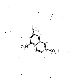 O=[N+]([O-])c1cc([N+](=O)[O-])c2ccc(S(=O)(=O)O)cc2c1